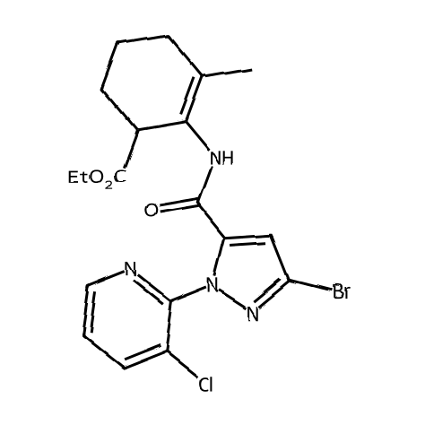 CCOC(=O)C1CCCC(C)=C1NC(=O)c1cc(Br)nn1-c1ncccc1Cl